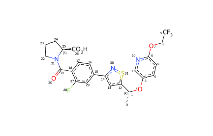 C[C@@H](Oc1ccc(OCC(F)(F)F)nc1)c1cc(-c2ccc(C(=O)N3CCC[C@H]3C(=O)O)c(F)c2)ns1